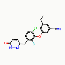 CCc1cc(C#N)cc(Oc2c(Cl)ccc(CC3C=CC(=O)NN3)c2F)c1